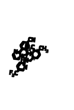 CC1[C@@H](C)CC[C@@H](CNc2ccc(C(F)(F)F)cn2)N1C(=O)c1cc(C#N)ccc1-c1ncccn1